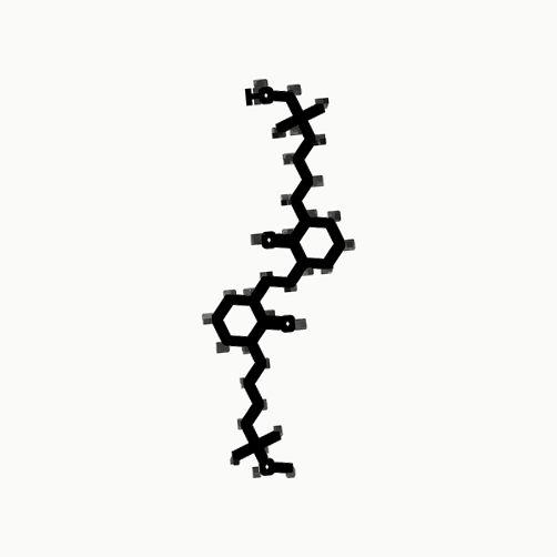 COC(C)(C)CCCCC1CCCC(CCC2CCCC(CCCCC(C)(C)CO)C2=O)C1=O